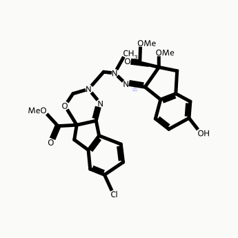 COC(=O)C12Cc3cc(Cl)ccc3C1=NN(CN(C)/N=C1/c3ccc(O)cc3CC1(OC)C(=O)OC)CO2